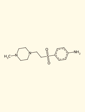 CN1CCN(CCS(=O)(=O)c2ccc(N)cc2)CC1